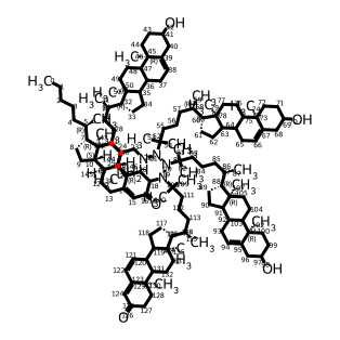 CCCCC[C@@H](C)[C@H]1CC[C@H]2[C@@H]3CCC4=CC(=O)C(N(N(N(NCC(CN)CCC[C@@H](C)[C@H]5CCC6C7CC=C8CC(O)CC[C@]8(C)C7CC[C@@]65C)C(C)(C)CCC[C@@H](C)[C@H]5CCC6C7CC=C8CC(O)CC[C@]8(C)C7CC[C@@]65C)C(C)(C)CCC[C@@H](C)[C@H]5CCC6C7CC=C8CC(O)CC[C@]8(C)C7CC[C@@]65C)C(C)(C)CCC[C@@H](C)[C@H]5CCC6C7C=CC8=CC(=O)CC[C@]8(C)C7CC[C@@]65C)C[C@]4(C)[C@H]3CC[C@]12C